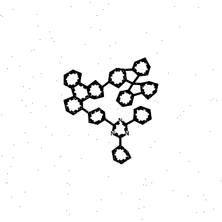 c1ccc(-c2nc(-c3ccccc3)nc(-c3ccc(-c4cccc5c6ccccc6c6cc(-c7ccc8c(c7)C7(c9ccccc9-c9ccccc97)c7ccccc7-8)ccc6c45)cc3)n2)cc1